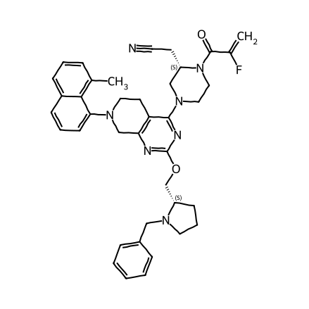 C=C(F)C(=O)N1CCN(c2nc(OC[C@@H]3CCCN3Cc3ccccc3)nc3c2CCN(c2cccc4cccc(C)c24)C3)C[C@@H]1CC#N